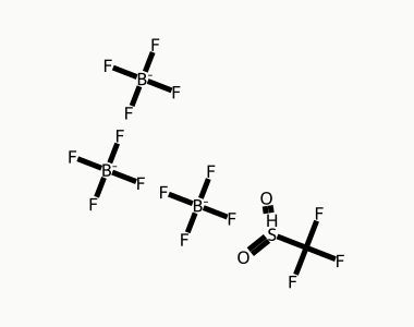 F[B-](F)(F)F.F[B-](F)(F)F.F[B-](F)(F)F.O=[SH](=O)C(F)(F)F